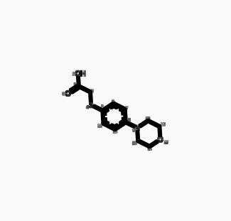 O=C(O)CSc1ccc(N2CCOCC2)cc1